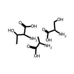 CC(N)C(=O)O.CC(O)C(N)C(=O)O.NC(CO)C(=O)O